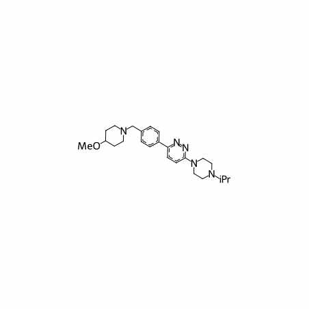 COC1CCN(Cc2ccc(-c3ccc(N4CCN(C(C)C)CC4)nn3)cc2)CC1